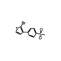 CS(=O)(=O)c1ccc(-c2ccsc2Br)cc1